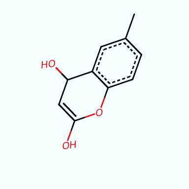 Cc1ccc2c(c1)C(O)C=C(O)O2